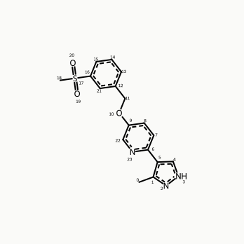 Cc1n[nH]cc1-c1ccc(OCc2cccc(S(C)(=O)=O)c2)cn1